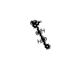 CCCc1c(CCNC(=O)CCCCC(=O)NCCc2ccccc2)ccc(OC)c1OC